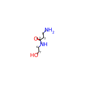 NCCC(=O)NCCO